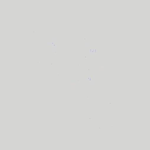 O=C1c2cc(F)c(N3CCCC3)c3c2C(NCS3)C(=O)N1OCc1ccccc1